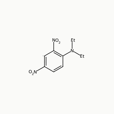 CCN(CC)c1ccc([N+](=O)[O-])[c]c1[N+](=O)[O-]